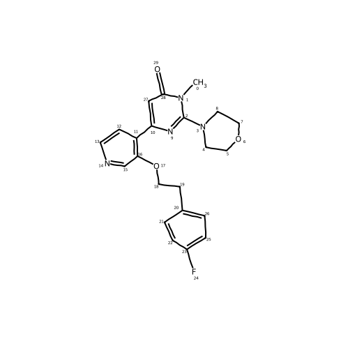 Cn1c(N2CCOCC2)nc(-c2ccncc2OCCc2ccc(F)cc2)cc1=O